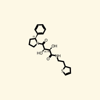 O=C(NCCC1CC=CS1)[C@H](O)[C@@H](O)C(=O)N1CCC[C@H]1c1ccccc1